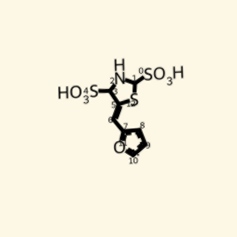 O=S(=O)(O)C1NC(S(=O)(=O)O)/C(=C/c2cc[c]o2)S1